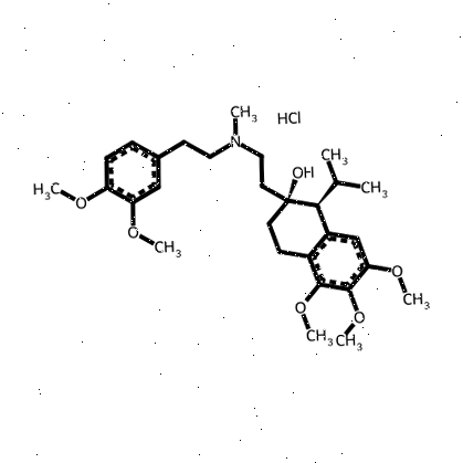 COc1ccc(CCN(C)CC[C@@]2(O)CCc3c(cc(OC)c(OC)c3OC)[C@@H]2C(C)C)cc1OC.Cl